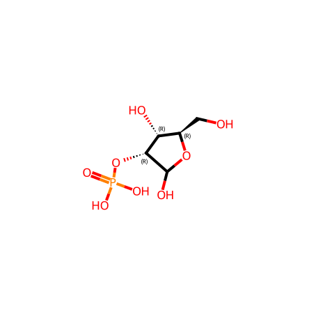 O=P(O)(O)O[C@H]1C(O)O[C@H](CO)[C@H]1O